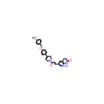 N#Cc1ccc(COc2ccc(C3=CCN(C(=O)C=Cc4cnc5c(c4)CCC(=O)N5)CC3)cc2)cc1